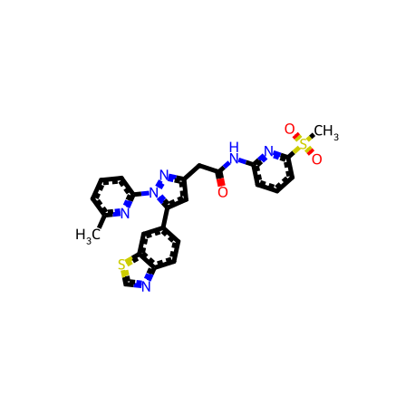 Cc1cccc(-n2nc(CC(=O)Nc3cccc(S(C)(=O)=O)n3)cc2-c2ccc3ncsc3c2)n1